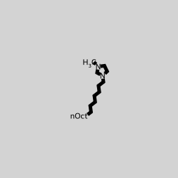 CCCCCCCCCCCCCCCN1CCN(C)C1